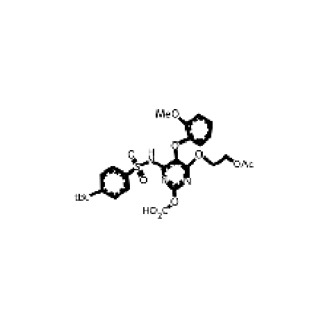 COc1ccccc1Oc1c(NS(=O)(=O)c2ccc(C(C)(C)C)cc2)nc(OC(=O)O)nc1OCCOC(C)=O